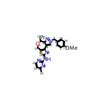 COc1ccc(Cn2cc3c(n2)C(C(C)C)OCc2sc(Nc4nccc(C)n4)nc2-3)cc1